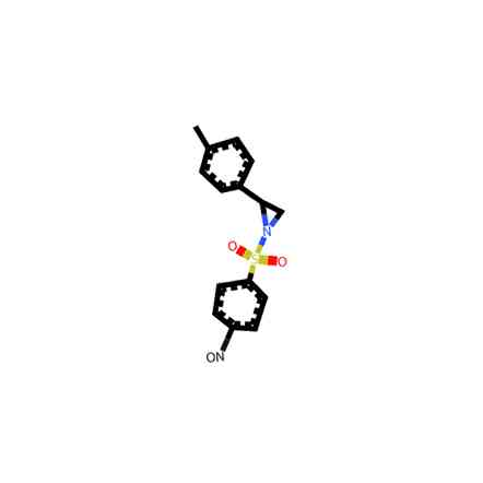 Cc1ccc(C2CN2S(=O)(=O)c2ccc(N=O)cc2)cc1